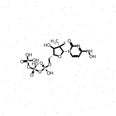 C[C@@]1(F)C(O)[C@@H](COP(=O)(O)OP(=O)(O)OP(=O)(O)O)O[C@H]1n1ccc(NO)nc1=O